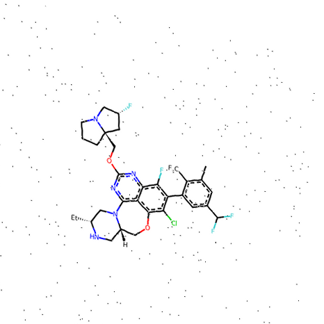 CC[C@@H]1CN2c3nc(OC[C@@]45CCCN4C[C@H](F)C5)nc4c(F)c(-c5cc(C(F)F)cc(C)c5C(F)(F)F)c(Cl)c(c34)OC[C@@H]2CN1